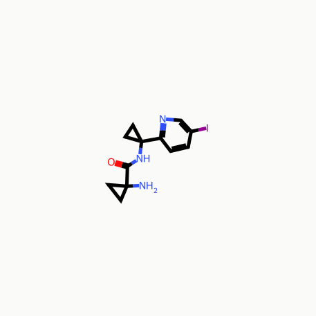 NC1(C(=O)NC2(c3ccc(I)cn3)CC2)CC1